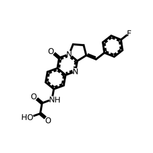 O=C(O)C(=O)Nc1ccc2c(=O)n3c(nc2c1)/C(=C/c1ccc(F)cc1)CC3